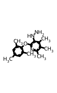 Cc1cc(C)c(Oc2nc(C)c(C)c(C)c2NN)c(C)c1